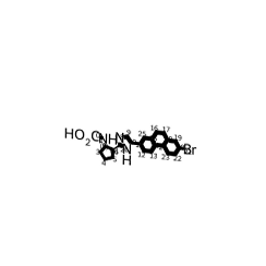 O=C(O)N[C@H]1CCC[C@@H]1c1ncc(-c2ccc3c(ccc4cc(Br)ccc43)c2)[nH]1